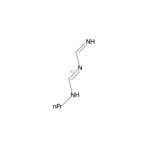 CCCN/C=N/C=N